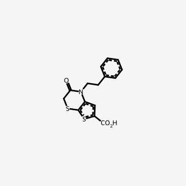 O=C(O)c1cc2c(s1)SCC(=O)N2CCc1ccccc1